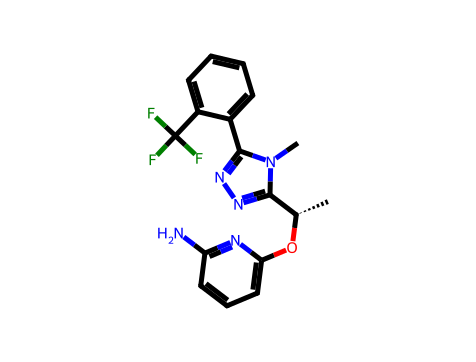 C[C@H](Oc1cccc(N)n1)c1nnc(-c2ccccc2C(F)(F)F)n1C